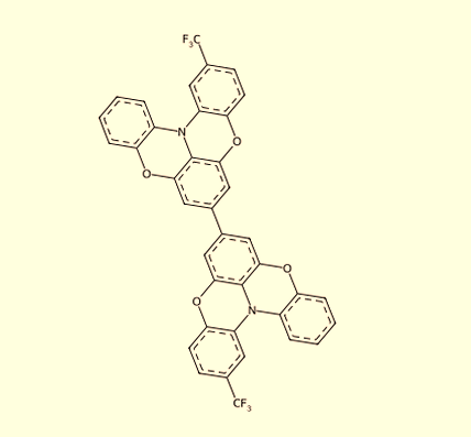 FC(F)(F)c1ccc2c(c1)N1c3ccccc3Oc3cc(-c4cc5c6c(c4)Oc4ccc(C(F)(F)F)cc4N6c4ccccc4O5)cc(c31)O2